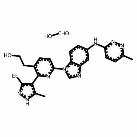 CCc1n[nH]c(C)c1-c1nc(-n2cnc3cc(Nc4ccc(C)nn4)ccc32)ccc1CCO.O=CO